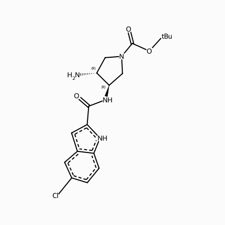 CC(C)(C)OC(=O)N1C[C@@H](N)[C@H](NC(=O)c2cc3cc(Cl)ccc3[nH]2)C1